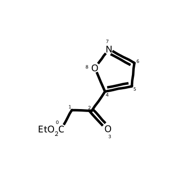 CCOC(=O)CC(=O)c1ccno1